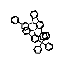 c1ccc(-c2cccc(-n3c4ccccc4c4ccc(-c5ccccc5)c(-n5c6ccccc6c6ccc([Si](c7ccccc7)(c7ccccc7)c7ccccc7)cc65)c43)c2)cc1